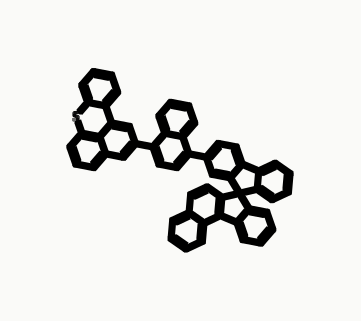 c1ccc2c(c1)Sc1cccc3cc(-c4ccc(-c5ccc6c(c5)C5(c7ccccc7-6)c6ccccc6-c6c5ccc5ccccc65)c5ccccc45)cc-2c13